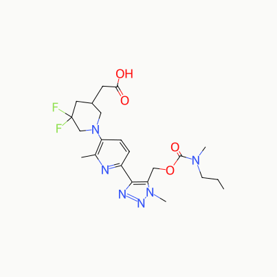 CCCN(C)C(=O)OCc1c(-c2ccc(N3CC(CC(=O)O)CC(F)(F)C3)c(C)n2)nnn1C